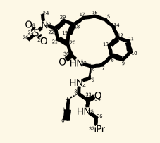 C#CC[C@H](NC[C@@H]1Cc2cccc(c2)CCCCc2cc(cc(N(C)S(C)(=O)=O)c2)C(=O)N1)C(=O)NCC(C)C